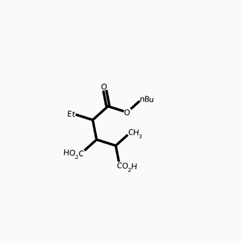 CCCCOC(=O)C(CC)C(C(=O)O)C(C)C(=O)O